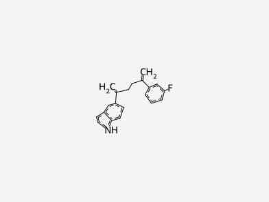 C=C(CCC(=C)c1ccc2[nH]ccc2c1)c1cccc(F)c1